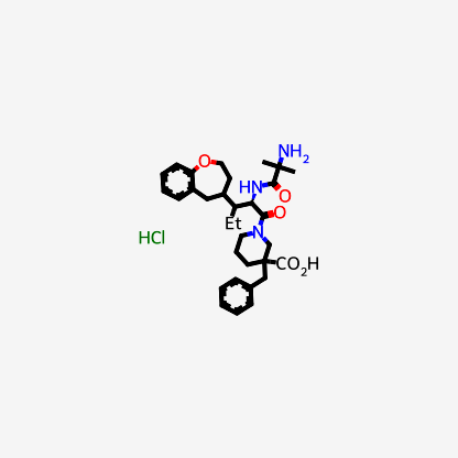 CCC(C1CCOc2ccccc2C1)[C@@H](NC(=O)C(C)(C)N)C(=O)N1CCCC(Cc2ccccc2)(C(=O)O)C1.Cl